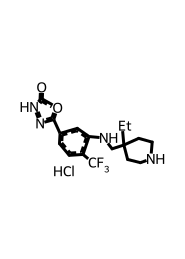 CCC1(CNc2cc(-c3n[nH]c(=O)o3)ccc2C(F)(F)F)CCNCC1.Cl